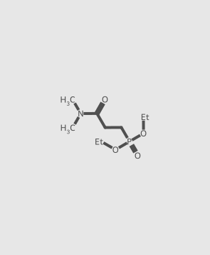 CCOP(=O)(CCC(=O)N(C)C)OCC